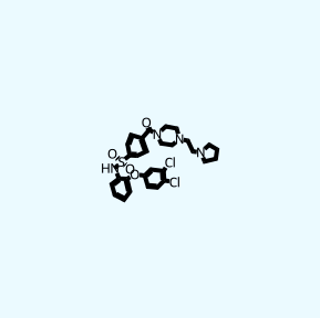 O=C(c1ccc(S(=O)(=O)Nc2ccccc2Oc2ccc(Cl)c(Cl)c2)cc1)N1CCN(CCN2CCCC2)CC1